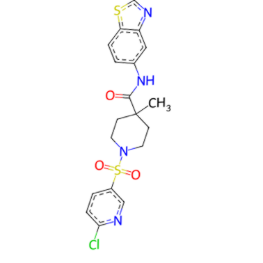 CC1(C(=O)Nc2ccc3scnc3c2)CCN(S(=O)(=O)c2ccc(Cl)nc2)CC1